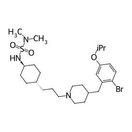 CC(C)Oc1ccc(Br)c(CC2CCN(CCC[C@H]3CC[C@H](NS(=O)(=O)N(C)C)CC3)CC2)c1